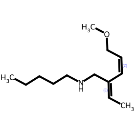 C/C=C(\C=C/COC)CNCCCCC